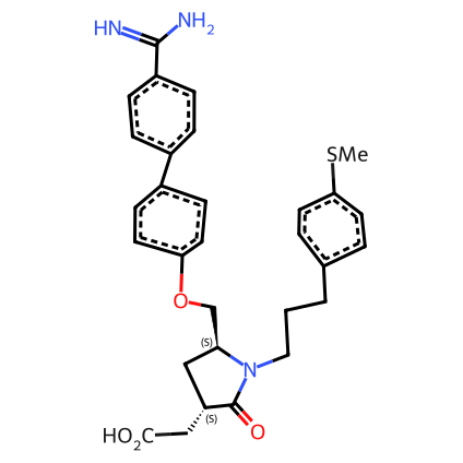 CSc1ccc(CCCN2C(=O)[C@H](CC(=O)O)C[C@H]2COc2ccc(-c3ccc(C(=N)N)cc3)cc2)cc1